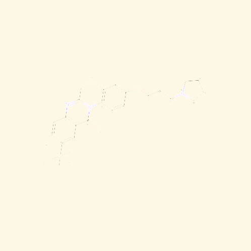 Cc1nc2ccc(S(F)(F)(F)(F)F)cc2c(=O)n1-c1ccc(OCCCN2CCCC2)cc1O